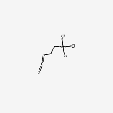 O=C=CCCC(Cl)(Cl)Cl